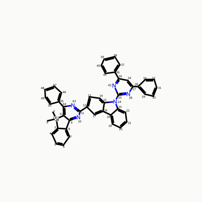 C[Si]1(C)c2ccccc2-c2nc(-c3ccc4c(c3)c3ccccc3n4-c3nc(-c4ccccc4)cc(-c4ccccc4)n3)nc(-c3ccccc3)c21